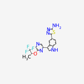 CC(Oc1cncc(-c2c[nH]c3ccc(-c4nnc(N)s4)cc23)n1)C(F)(F)F